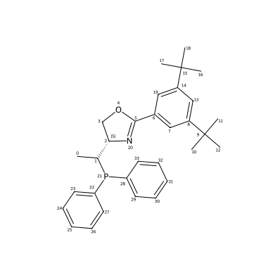 CC([C@@H]1COC(c2cc(C(C)(C)C)cc(C(C)(C)C)c2)=N1)P(c1ccccc1)c1ccccc1